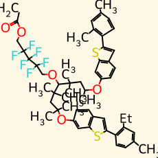 C=CC(=O)OCC(F)(F)C(F)(F)C(F)(F)COC(C(C)(C)CC(C)Oc1ccc2cc(-c3ccc(C)cc3C)sc2c1)C(C)(C)CC(C)(C)Oc1ccc2cc(-c3ccc(C)cc3CC)sc2c1